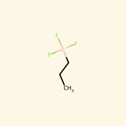 CCC[B-](F)(F)F